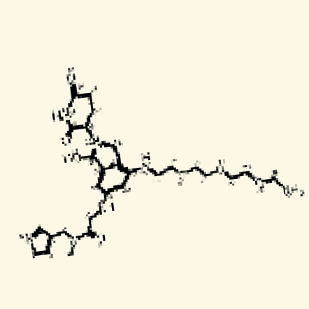 CN(CC1=CCN=C1)C(=O)CNc1cc(NCCOCCOCCOCN)c2c(c1)C(O)N(C1CCC(=O)NC1=O)C2